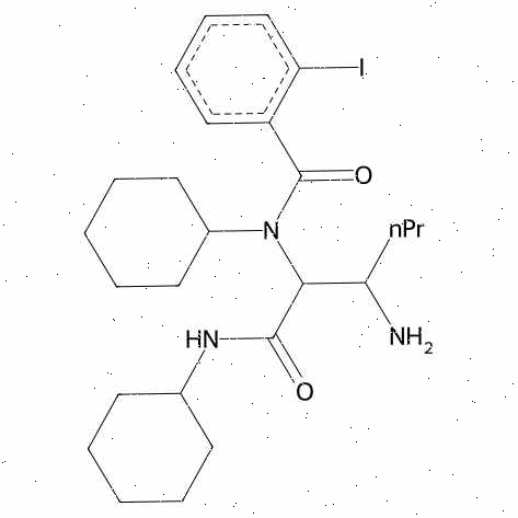 CCCC(N)C(C(=O)NC1CCCCC1)N(C(=O)c1ccccc1I)C1CCCCC1